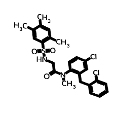 Cc1cc(C)c(S(=O)(=O)NCC(=O)N(C)c2ccc(Cl)cc2Cc2ccccc2Cl)cc1C